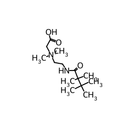 CC(C)(C)C(C)(C)C(=O)NCC[N+](C)(C)CC(=O)O